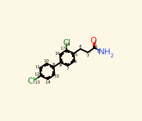 NC(=O)[CH]Cc1ccc(-c2ccc(Cl)cc2)cc1Cl